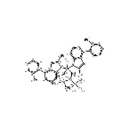 CC(C)C1=Cc2c(-c3ccccc3C(C)C)cccc2[CH]1[Zr]([Cl])([Cl])([BH]N([Si](C)(C)C)[Si](C)(C)C)[CH]1C(C(C)C)=Cc2c(-c3ccccc3C(C)C)cccc21